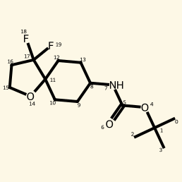 CC(C)(C)OC(=O)NC1CCC2(CC1)OCCC2(F)F